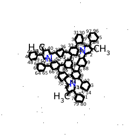 Cc1cc(-c2ccc(-c3cc(-c4ccccc4)ccc3-c3cc(-c4ccc(-c5ccccc5)cc4-c4ccc(-c5cc(C)c(-c6ccccc6)cn5)cc4)cc(-c4ccc(-c5ccccc5)cc4-c4ccc(-c5cc(C)c(-c6ccccc6)cn5)cc4)c3)cc2)ncc1-c1ccccc1